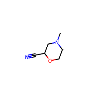 CN1[CH]COC(C#N)C1